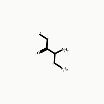 CCC(=O)C(N)CN